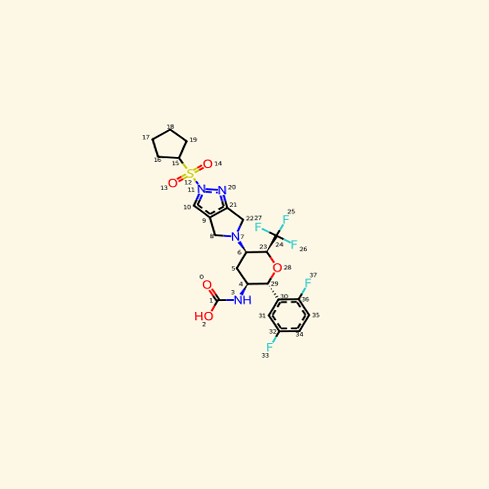 O=C(O)N[C@H]1C[C@@H](N2Cc3cn(S(=O)(=O)C4CCCC4)nc3C2)[C@@H](C(F)(F)F)O[C@@H]1c1cc(F)ccc1F